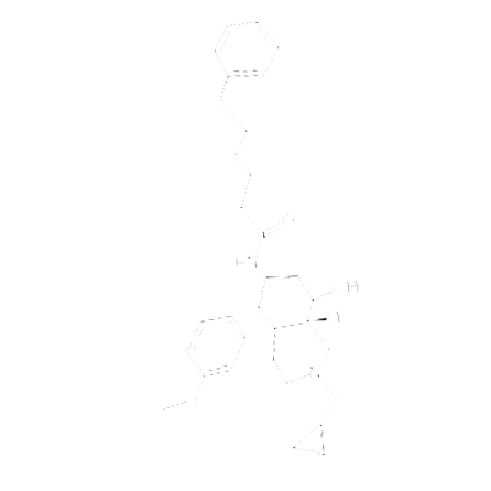 COc1cccc([C@@]23CCN(CC4CC4)C[C@H]2C(O)C[C@@H](NC(=O)CCCCCc2ccccc2)C3)c1